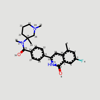 Cc1cc(F)cc2c(=O)[nH]c(-c3ccc(C(=O)N(C)C4(C)CCCN(C)C4)cc3)cc12